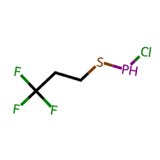 FC(F)(F)CCSPCl